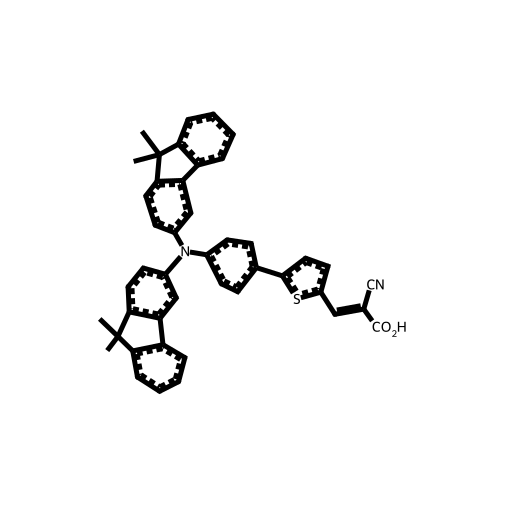 CC1(C)c2ccccc2-c2cc(N(c3ccc(-c4ccc(/C=C(\C#N)C(=O)O)s4)cc3)c3ccc4c(c3)-c3ccccc3C4(C)C)ccc21